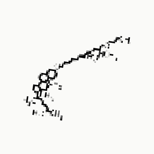 CCCCOCC(COCCCCCCCCO[C@H]1CC[C@@]2(C)C(=CCC3C2CC[C@@]2(C)C3CC[C@@H]2[C@H](C)CCCC(C)C)C1)N(C)C